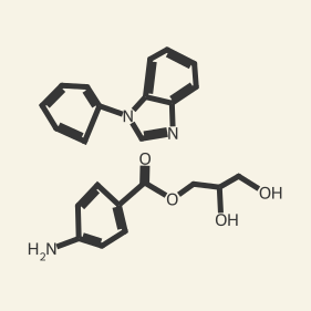 Nc1ccc(C(=O)OCC(O)CO)cc1.c1ccc(-n2cnc3ccccc32)cc1